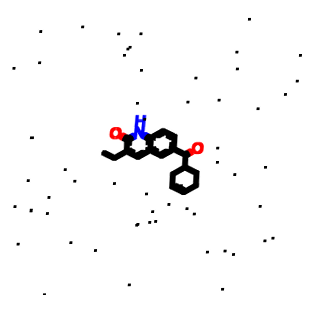 CCc1cc2cc(C(=O)C3CC=CCC3)ccc2[nH]c1=O